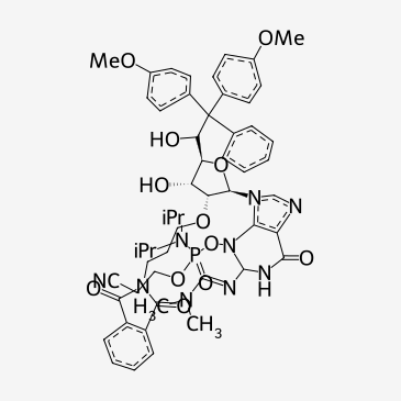 COc1ccc(C(c2ccccc2)(c2ccc(OC)cc2)C(O)[C@H]2O[C@@H](n3cnc4c3N(OP(=O)(OCCC#N)N(C(C)C)C(C)C)C(N=CN(C)C)NC4=O)[C@H](OCCCN3C(=O)c4ccccc4C3=O)[C@@H]2O)cc1